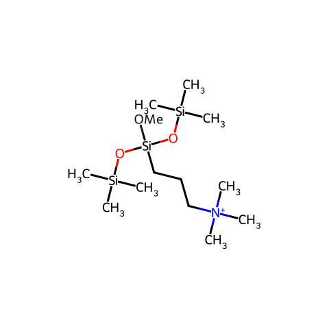 CO[Si](CCC[N+](C)(C)C)(O[Si](C)(C)C)O[Si](C)(C)C